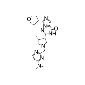 CC1CN(Cc2nccc(N(C)C)n2)CC1c1nn2c(C3CCOCC3)ncc2c(=O)[nH]1